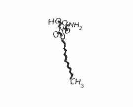 CCCCCCCCCCCCCCOC(=O)N(CC(=O)O)C(=O)CN